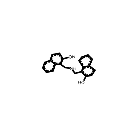 Oc1ccc2ccccc2c1CNCc1c(O)ccc2ccccc12